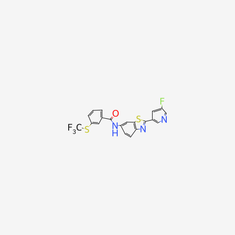 O=C(Nc1ccc2nc(-c3cncc(F)c3)sc2c1)c1cccc(SC(F)(F)F)c1